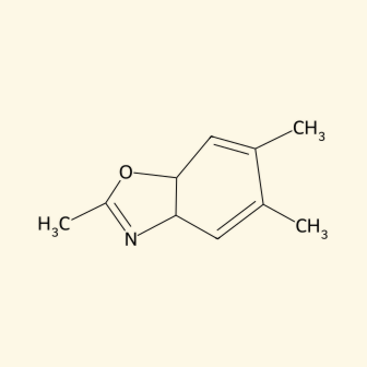 CC1=CC2N=C(C)OC2C=C1C